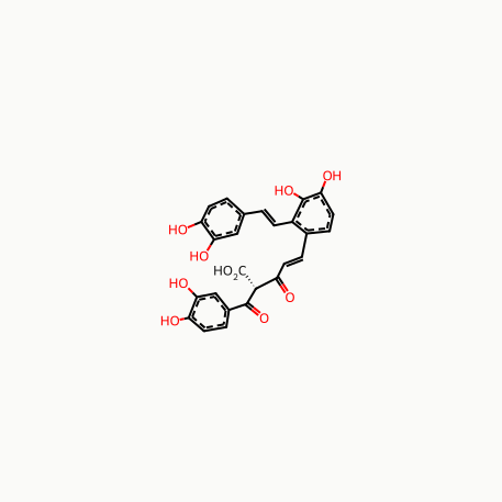 O=C(O)[C@H](C(=O)C=Cc1ccc(O)c(O)c1C=Cc1ccc(O)c(O)c1)C(=O)c1ccc(O)c(O)c1